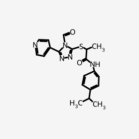 CC(Sc1nnc(-c2ccncc2)n1C=O)C(=O)Nc1ccc(C(C)C)cc1